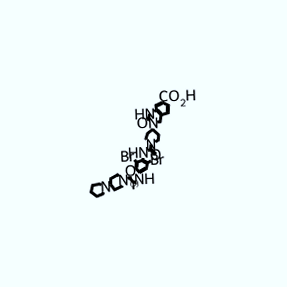 C[C@H](Nc1cc(Br)c(NC(=O)N2CCC(N3Cc4ccc(C(=O)O)cc4NC3=O)CC2)c(Br)c1)C(=O)N1CCC(N2CCCCC2)CC1